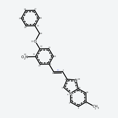 Cc1ccn2cc(/C=C/c3ccc(OCc4ccccc4)c([N+](=O)[O-])c3)nc2c1